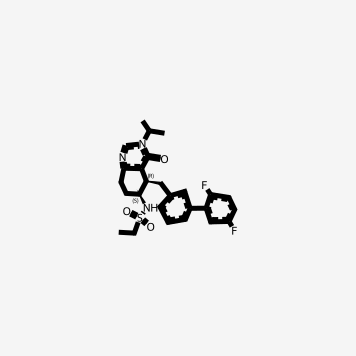 CCS(=O)(=O)N[C@H]1CCc2ncn(C(C)C)c(=O)c2[C@H]1Cc1cccc(-c2cc(F)ccc2F)c1